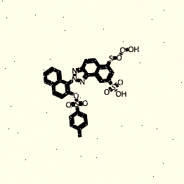 Cc1ccc(S(=O)(=O)Oc2ccc3ccccc3c2-n2nc3ccc4c(SOOO)cc(S(=O)(=O)O)cc4c3n2)cc1